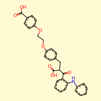 O=C(O)c1ccc(OCCOc2ccc(CC(C(=O)O)C(=O)c3ccccc3Nc3ccccc3)cc2)cc1